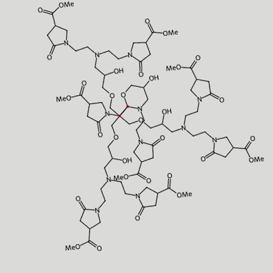 COC(=O)C1CC(=O)N(CCN(CCN2CC(C(=O)OC)CC2=O)CC(O)COCC(COCC(O)CN(CCN2CC(C(=O)OC)CC2=O)CCN2CC(C(=O)OC)CC2=O)(COCC(O)CN(CCN2CC(C(=O)OC)CC2=O)CCN2CC(C(=O)OC)CC2=O)COCC(O)CN(CCN2CC(C(=O)OC)CC2=O)CCN2CC(C(=O)OC)CC2=O)C1